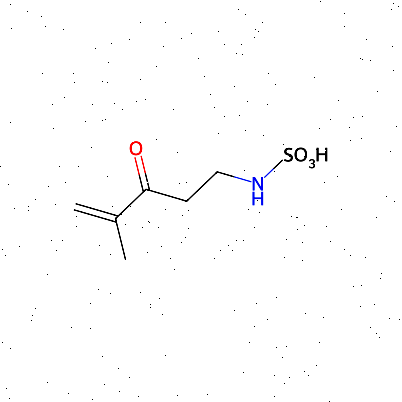 C=C(C)C(=O)CCNS(=O)(=O)O